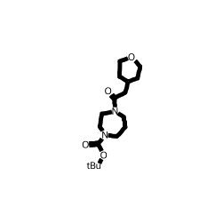 CC(C)(C)OC(=O)N1CCCN(C(=O)CC2CCOCC2)CC1